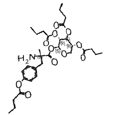 CCCC(=O)Oc1ccc(C[C@](C)(N)C(=O)O[C@@H]2OC[C@@H](OC(=O)CCC)[C@H](OC(=O)CCC)[C@H]2OC(=O)CCC)cc1